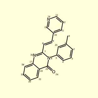 Cc1cccc(-n2c(C=Cc3cccnc3)nc3ccccc3c2=O)c1